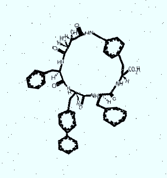 O=C1N[C@H](Cc2ccccc2)C(=O)N[C@@H](C(=O)O)Cc2ccc(cc2)NC(=O)[C@H](O)[C@@H](O)C(=O)N[C@H](Cc2ccccc2)C(=O)N[C@H]1Cc1ccc(-c2ccccc2)cc1